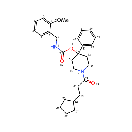 COc1ccccc1CNC(=O)OC1(c2ccccc2)CCN(C(=O)CCC2CCCC2)CC1